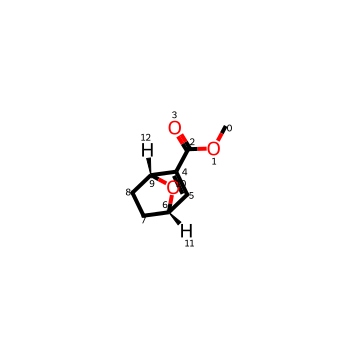 COC(=O)C1=C[C@@H]2CC[C@H]1O2